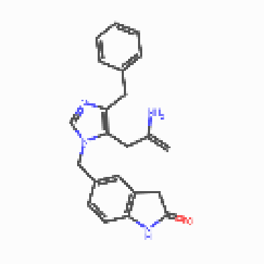 C=C(N)Cc1c(Cc2ccccc2)ncn1Cc1ccc2c(c1)CC(=O)N2